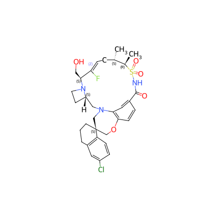 C[C@@H]1[C@@H](C)C/C=C(\F)[C@H](CO)N2CC[C@H]2CN2C[C@@]3(CCCc4cc(Cl)ccc43)COc3ccc(cc32)C(=O)NS1(=O)=O